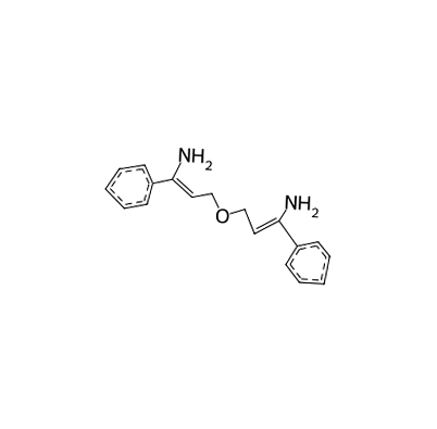 NC(=CCOCC=C(N)c1ccccc1)c1ccccc1